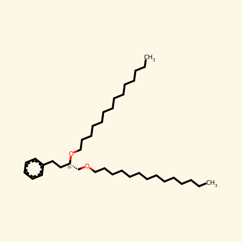 CCCCCCCCCCCCCCOC[C@H](CCc1ccccc1)OCCCCCCCCCCCCCC